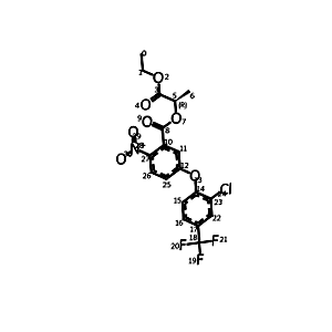 CCOC(=O)[C@@H](C)OC(=O)c1cc(Oc2ccc(C(F)(F)F)cc2Cl)ccc1[N+](=O)[O-]